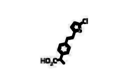 CC(C(=O)O)c1ccc(C=Cc2ccc(Cl)s2)cc1